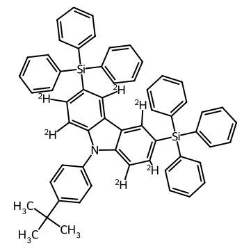 [2H]c1c([Si](c2ccccc2)(c2ccccc2)c2ccccc2)c([2H])c2c3c([2H])c([Si](c4ccccc4)(c4ccccc4)c4ccccc4)c([2H])c([2H])c3n(-c3ccc(C(C)(C)C)cc3)c2c1[2H]